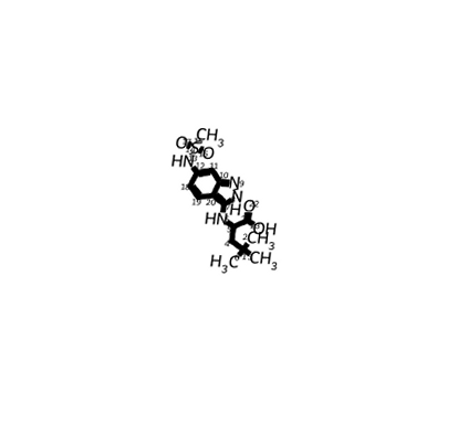 CC(C)(C)CC(Nc1[nH]nc2cc(NS(C)(=O)=O)ccc12)C(=O)O